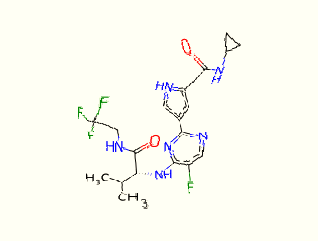 CC(C)[C@@H](Nc1nc(-c2c[nH]c(C(=O)NC3CC3)c2)ncc1F)C(=O)NCC(F)(F)F